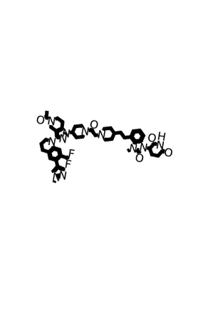 CC(=O)N1CCc2c(c(N3CCCc4cc(-c5cnn(C)c5)c(C(F)F)cc43)nn2C2CCN(C(=O)CN3CCC(CCc4cccc5c4n(C)c(=O)n5C4CCC(=O)NC4=O)CC3)CC2)C1